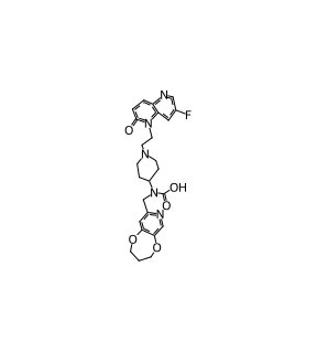 O=C(O)N(Cc1cc2c(cn1)OCCCO2)C1CCN(CCn2c(=O)ccc3ncc(F)cc32)CC1